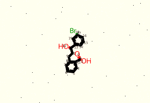 O=C(O)c1ccccc1CCC(O)c1cccc(Br)c1